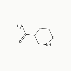 NC(=O)C1CCSNC1